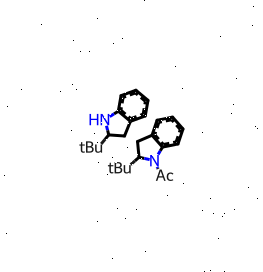 CC(=O)N1c2ccccc2CC1C(C)(C)C.CC(C)(C)C1Cc2ccccc2N1